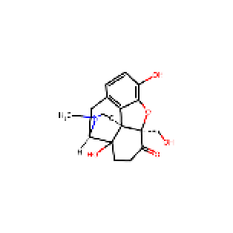 CN1CC[C@]23c4c5ccc(O)c4O[C@@]2(CO)C(=O)CCC3(O)[C@H]1C5